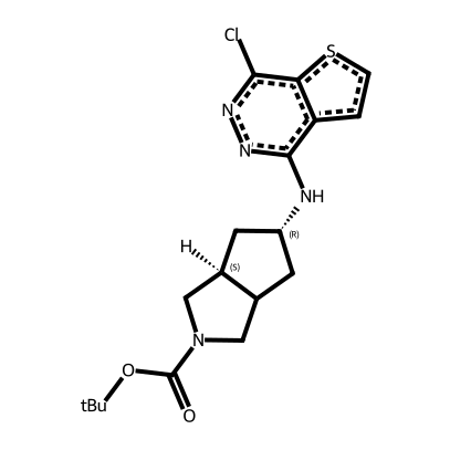 CC(C)(C)OC(=O)N1CC2C[C@@H](Nc3nnc(Cl)c4sccc34)C[C@@H]2C1